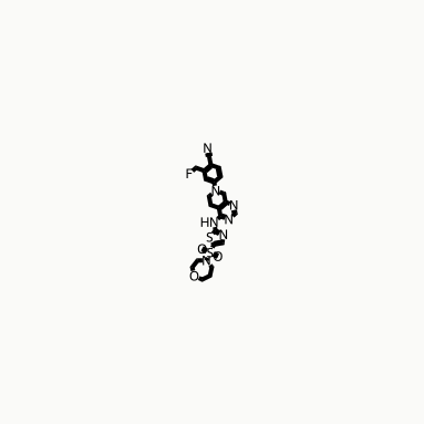 N#Cc1ccc(N2CCc3c(ncnc3Nc3ncc(S(=O)(=O)N4CCCOCC4)s3)C2)cc1CF